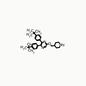 CC(C)(C)c1ccc(-c2ncc(OCC3CCNCC3)nc2-c2ccc(C(C)(C)C)cc2)cc1